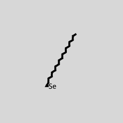 CCCCCCCCCCCCCCCCC1C[Se]1